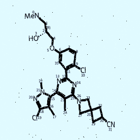 CNC[C@@H](O)COc1ccc(Cl)c(-c2nc(-c3c(C)c(Cl)nn3C)c(C)c(N3CC4(CC(C#N)C4)C3)n2)c1